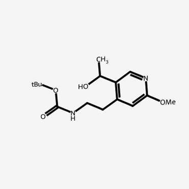 COc1cc(CCNC(=O)OC(C)(C)C)c(C(C)O)cn1